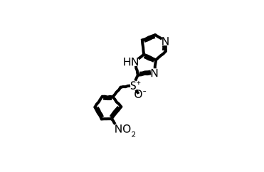 O=[N+]([O-])c1cccc(C[S+]([O-])c2nc3cnccc3[nH]2)c1